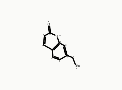 CCC(C)Cc1ccc2ccc(=O)oc2c1